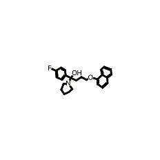 OC(CCCOc1cccc2ccccc12)(c1ccc(F)cc1)N1CCCCC1